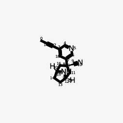 CC#Cc1cncc([C@]2(C#N)C[C@H]3CC[C@@H](C2)N3)c1